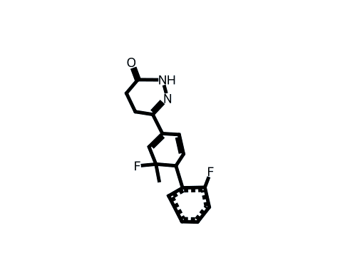 CC1(F)C=C(C2=NNC(=O)CC2)C=CC1c1ccccc1F